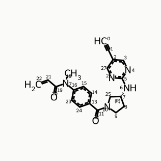 C#Cc1cnc(N[C@@H]2CCN(C(=O)c3ccc(N(C)C(=O)C=C)cc3)C2)nc1